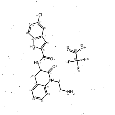 NCCN1C(=O)C(NC(=O)c2cc3cc(Cl)ncc3[nH]2)Cc2ccccc21.O=C(O)C(F)(F)F